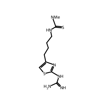 CNC(=S)NCCCCc1csc(NC(=N)N)n1